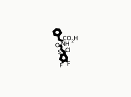 O=C(NC(Cc1ccccc1)C(=O)O)c1sc2cc(F)c(F)cc2c1Cl